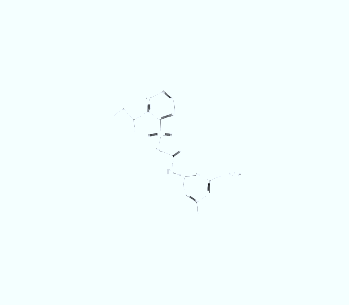 COC1=CC(C)=NN(NC(=O)NS(=O)(=O)c2cccnc2C(O)CF)N1